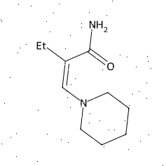 CCC(=CN1CCCCC1)C(N)=O